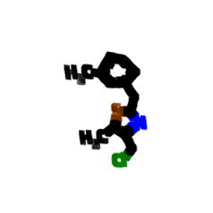 Cc1cccc(Cc2nc(CCl)c(C)s2)c1